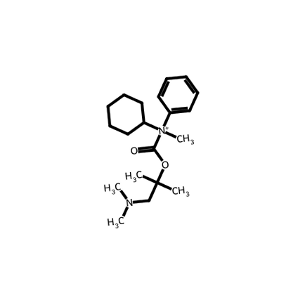 CN(C)CC(C)(C)OC(=O)[N+](C)(c1ccccc1)C1CCCCC1